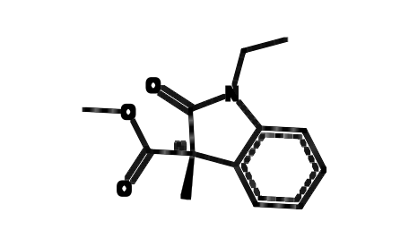 CCN1C(=O)[C@@](C)(C(=O)OC)c2ccccc21